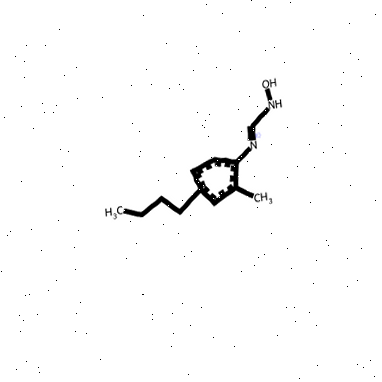 CCCCc1ccc(/N=C/NO)c(C)c1